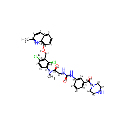 Cc1ccc2cccc(OCc3c(Cl)ccc(N(C)C(=O)CNC(=O)Nc4cccc(C(=O)N5CCNCC5)c4)c3Cl)c2n1